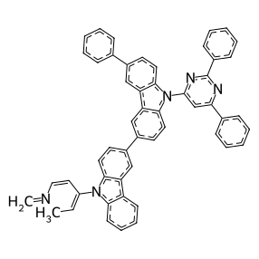 C=N/C=C\C(=C/C)n1c2ccccc2c2cc(-c3ccc4c(c3)c3cc(-c5ccccc5)ccc3n4-c3cc(-c4ccccc4)nc(-c4ccccc4)n3)ccc21